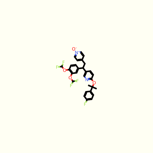 CC(C)(Oc1ccc(C(Cc2cc[n+]([O-])cc2)c2ccc(OC(F)F)c(OC(F)F)c2)cn1)c1ccc(F)cc1